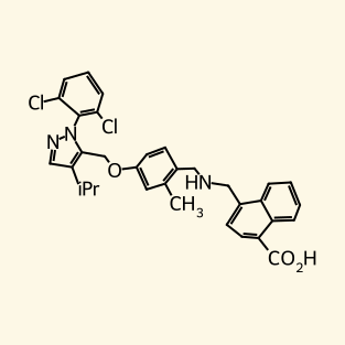 Cc1cc(OCc2c(C(C)C)cnn2-c2c(Cl)cccc2Cl)ccc1CNCc1ccc(C(=O)O)c2ccccc12